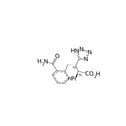 CCC[C@H](C(=O)O)[C@H](Cc1ccccc1C(N)=O)c1nnn[nH]1